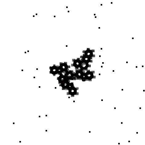 c1ccc(-n2c3ccccc3c3cccc(C4=NC(c5cccc6c5sc5ccccc56)NC(c5cc(C6CCc7cc8ccccc8cc7-c7ccccc76)c6c(c5)oc5ccccc56)=N4)c32)cc1